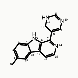 Cc1ccc2[nH]c3c(C4=CN=CNC4)nccc3c2c1